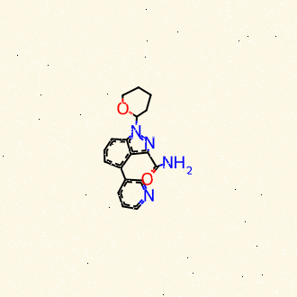 NC(=O)c1nn(C2CCCCO2)c2cccc(-c3cccnc3)c12